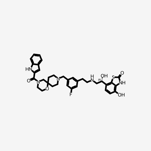 O=C(c1cc2ccccc2[nH]1)N1CCOC2(CCN(Cc3cc(F)cc(CCNC[C@H](O)c4ccc(O)c5[nH]c(=O)sc45)c3)CC2)C1